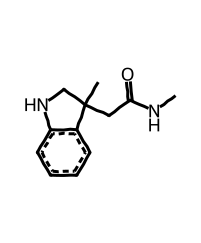 CNC(=O)CC1(C)CNc2ccccc21